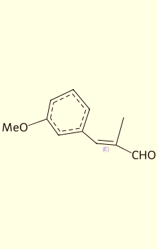 COc1cccc(/C=C(\C)C=O)c1